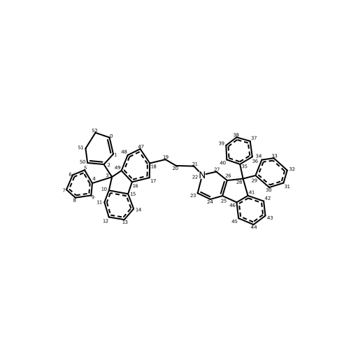 C1=CC(C2(c3ccccc3)c3ccccc3-c3cc(CCCN4C=CC5=C(C4)C(c4ccccc4)(c4ccccc4)c4ccccc45)ccc32)=CCC1